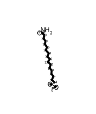 CS(=O)(=O)CCCCCCCCCCCCCCCCCC(N)=O